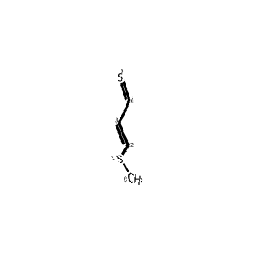 [CH]SC=CC=S